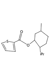 CC1CCC(C(C)C)C(OC(=O)c2cccs2)C1